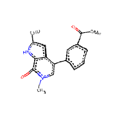 COC(=O)c1cccc(-c2cn(C)c(=O)c3[nH]c(C=O)cc23)c1